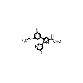 O=CNc1cc(-c2cc(F)cc(OCC(F)(F)F)c2)n(-c2cncc(F)c2)n1